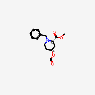 COC(=O)[C@@H]1C[C@@H](OC=O)CCN1Cc1ccccc1